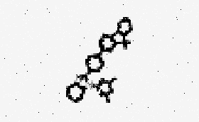 Cc1cc(C)nc(-n2c(-c3ccc(-c4ccc5c(c4)C(C)(C)c4ccccc4-5)cc3)nc3ccccc32)c1